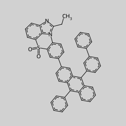 CCc1nc2cccc3c2n1-c1ccc(-c2ccc4c(-c5ccccc5)c5ccccc5c(-c5cccc(-c6ccccc6)c5)c4c2)cc1S3(=O)=O